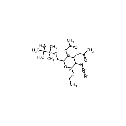 CCS[C@H]1OC(CO[Si](C)(C)C(C)(C)C)[C@@H](OC(C)=O)C(OC(C)=O)C1N=[N+]=[N-]